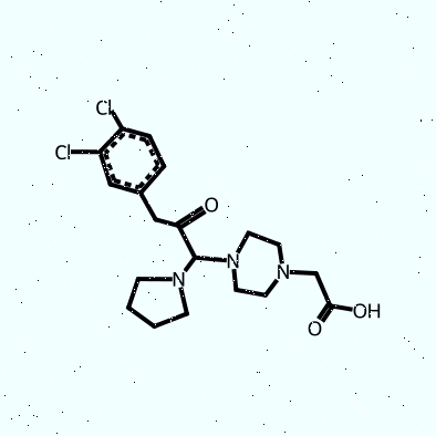 O=C(O)CN1CCN(C(C(=O)Cc2ccc(Cl)c(Cl)c2)N2CCCC2)CC1